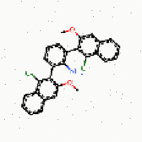 COc1cc2ccccc2c(Cl)c1-c1cccc(-c2c(OC)cc3ccccc3c2Cl)c1N